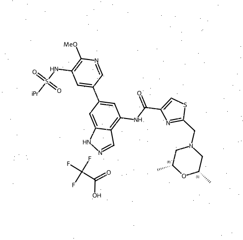 COc1ncc(-c2cc(NC(=O)c3csc(CN4C[C@@H](C)O[C@@H](C)C4)n3)c3cn[nH]c3c2)cc1NS(=O)(=O)C(C)C.O=C(O)C(F)(F)F